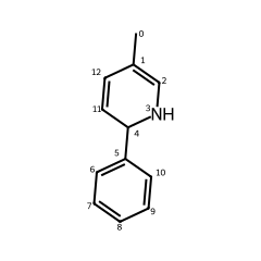 CC1=CNC(c2ccccc2)C=C1